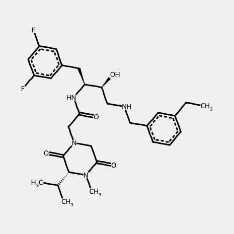 CCc1cccc(CNC[C@H](O)[C@H](Cc2cc(F)cc(F)c2)NC(=O)CN2CC(=O)N(C)[C@H](C(C)C)C2=O)c1